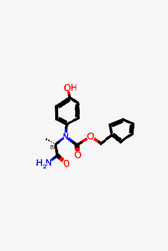 C[C@@H](C(N)=O)N(C(=O)OCc1ccccc1)c1ccc(O)cc1